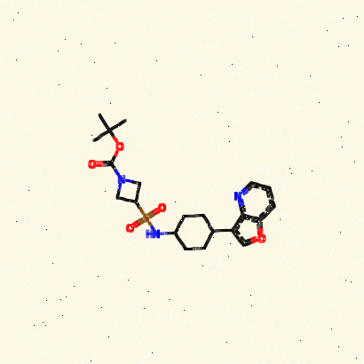 CC(C)(C)OC(=O)N1CC(S(=O)(=O)NC2CCC(c3coc4cccnc34)CC2)C1